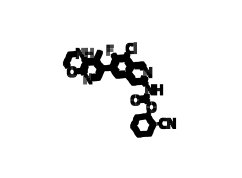 Cc1c(-c2cc3cc(NC(=O)O[C@@H]4CCCC[C@H]4C#N)ncc3c(Cl)c2F)cnc2c1NCCO2